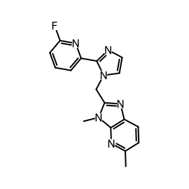 Cc1ccc2nc(Cn3ccnc3-c3cccc(F)n3)n(C)c2n1